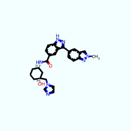 Cn1cc2cc(-c3n[nH]c4ccc(C(=O)N[C@H]5CCC[C@](O)(Cn6ccnc6)C5)cc34)ccc2n1